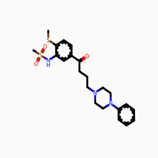 CSc1ccc(C(=O)CCCN2CCN(c3ccccc3)CC2)cc1NS(C)(=O)=O